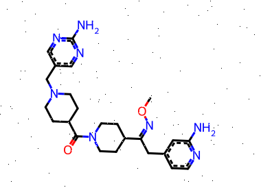 CON=C(Cc1ccnc(N)c1)C1CCN(C(=O)C2CCN(Cc3cnc(N)nc3)CC2)CC1